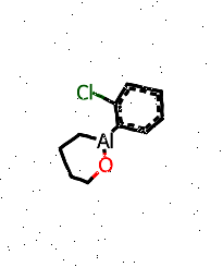 Clc1cccc[c]1[Al]1[CH2]CCC[O]1